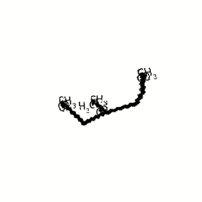 CC(=O)OCCCCCCCC/C=C\CCCCCCCCC(CCCCCCCC/C=C\CCCCCCCCOC(C)=O)OC(=O)CCCN(C)C